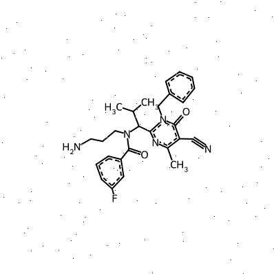 Cc1nc(C(C(C)C)N(CCCN)C(=O)c2cccc(F)c2)n(Cc2ccccc2)c(=O)c1C#N